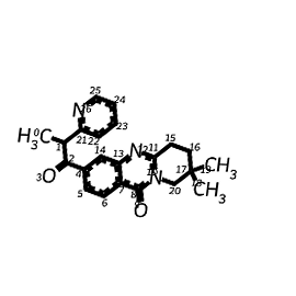 CC(C(=O)c1ccc2c(=O)n3c(nc2c1)CCC(C)(C)C3)c1ccccn1